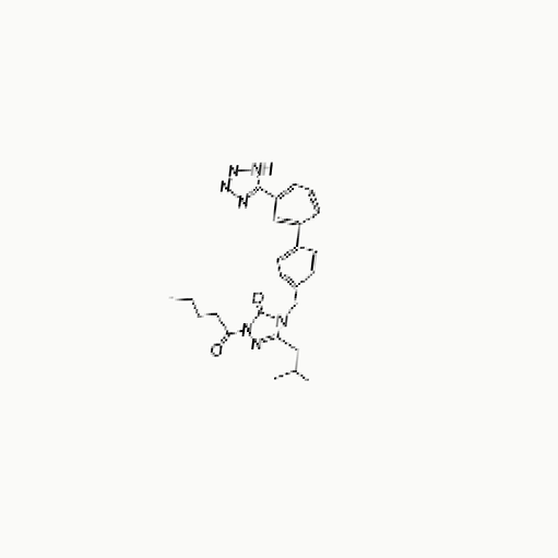 CCCCC(=O)n1nc(CC(C)C)n(Cc2ccc(-c3cccc(-c4nnn[nH]4)c3)cc2)c1=O